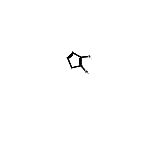 BrC1=C(Br)C=C[CH]1